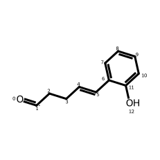 O=[C]CCC=Cc1ccccc1O